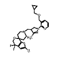 CC1=NN(c2ncccc2COCC2CC2)CC1CN1CCC2(CC1)OCC(F)(F)c1cc(Cl)sc12